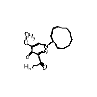 COc1cn(C2CCCCCCCCC2)nc(C(C)=O)c1=O